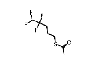 CC(=O)SCCCC(F)(F)C(F)F